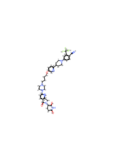 N#Cc1ccc(N2CCC(c3ccc(OCCCCN4CCN(c5ccc6c(n5)CN(C5CCC(=O)NC5=O)C6=O)CC4)cn3)CC2)cc1C(F)(F)F